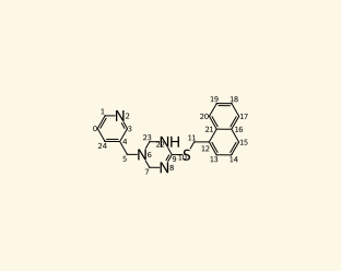 c1cncc(CN2CN=C(SCc3cccc4ccccc34)NC2)c1